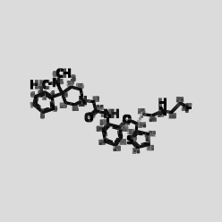 CN(C)C1(c2ccccc2)CCN(CC(=O)Nc2ccccc2O[C@H](CCNCCF)c2cccs2)CC1